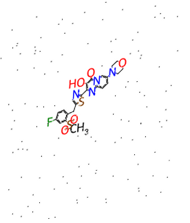 CS(=O)(=O)c1cc(F)ccc1Cc1cnc(-c2nc3ccc(N4CCOCC4)cn3c(=O)c2O)s1